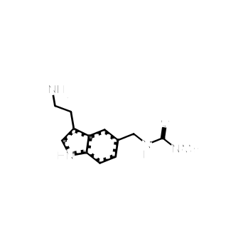 CNC(=O)NCc1ccc2[nH]cc(CCN)c2c1